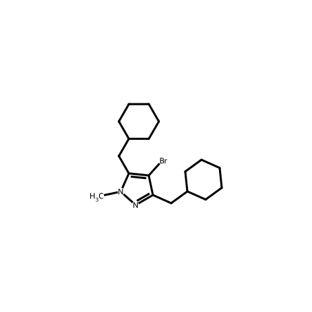 Cn1nc(CC2CCCCC2)c(Br)c1CC1CCCCC1